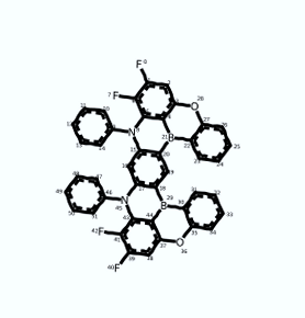 Fc1cc2c3c(c1F)N(c1ccccc1)c1cc4c(cc1B3c1ccccc1O2)B1c2ccccc2Oc2cc(F)c(F)c(c21)N4c1ccccc1